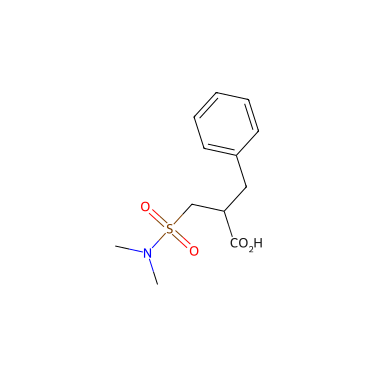 CN(C)S(=O)(=O)CC(Cc1ccccc1)C(=O)O